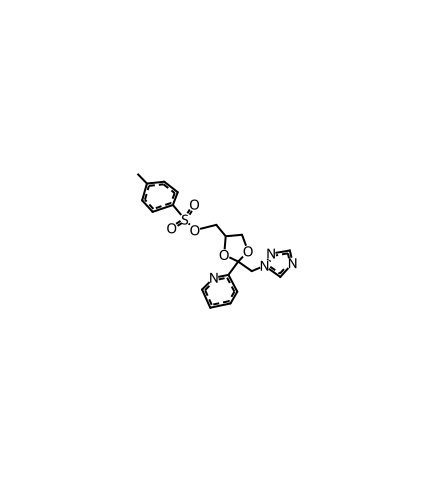 Cc1ccc(S(=O)(=O)OCC2COC(Cn3cncn3)(c3ccccn3)O2)cc1